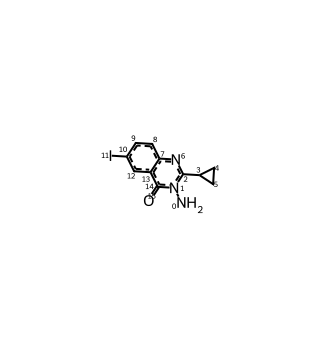 Nn1c(C2CC2)nc2ccc(I)cc2c1=O